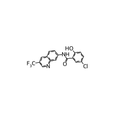 O=C(Nc1ccc2cc(C(F)(F)F)cnc2c1)c1cc(Cl)ccc1O